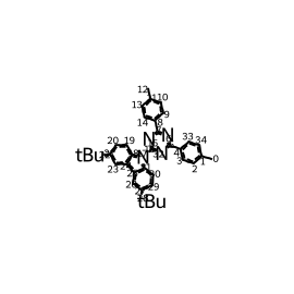 Cc1ccc(-c2nc(-c3ccc(C)cc3)nc(-n3c4ccc(C(C)(C)C)cc4c4cc(C(C)(C)C)ccc43)n2)cc1